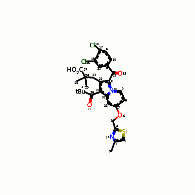 Cc1csc(COc2ccn3c(C(=O)c4ccc(Cl)c(Cl)c4)c(CC(C)(C)C(=O)O)c(C(=O)C(C)(C)C)c3c2)n1